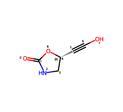 O=C1NC[C@@H](C#CO)O1